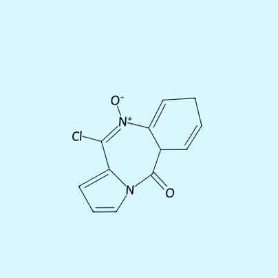 O=C1C2C=CCC=C2[N+]([O-])=C(Cl)c2cccn21